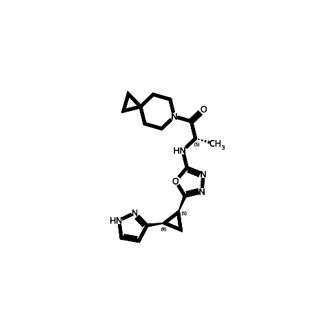 C[C@H](Nc1nnc([C@H]2C[C@H]2c2cc[nH]n2)o1)C(=O)N1CCC2(CC1)CC2